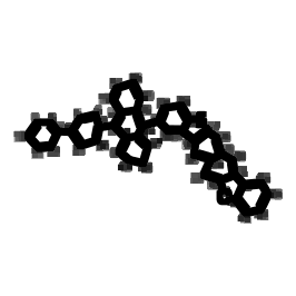 C1=c2c(-c3ccc(-c4ccccc4)cc3)c3ccccc3c(-c3ccc4sc5cc6cc7c(cc6cc5c4c3)oc3ccccc37)c2=CCC1